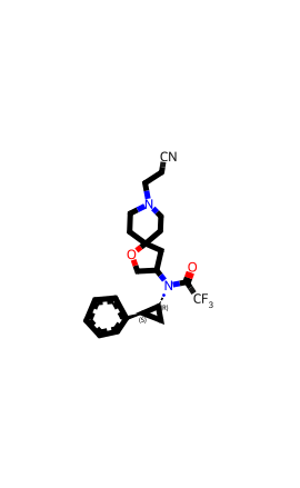 N#CCCN1CCC2(CC1)CC(N(C(=O)C(F)(F)F)[C@@H]1C[C@H]1c1ccccc1)CO2